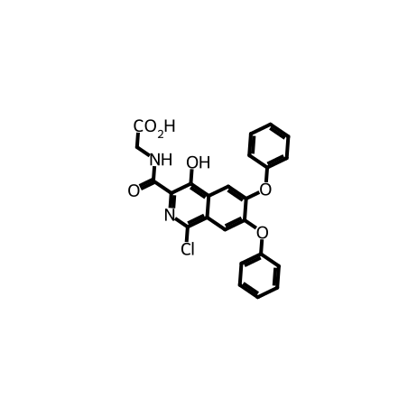 O=C(O)CNC(=O)c1nc(Cl)c2cc(Oc3ccccc3)c(Oc3ccccc3)cc2c1O